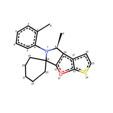 Cc1ccccc1N1[C@@H](C)c2c(oc3sccc23)C12CCCCC2